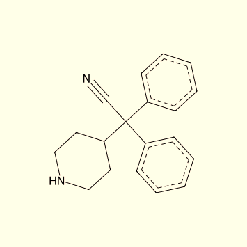 N#CC(c1ccccc1)(c1ccccc1)C1CCNCC1